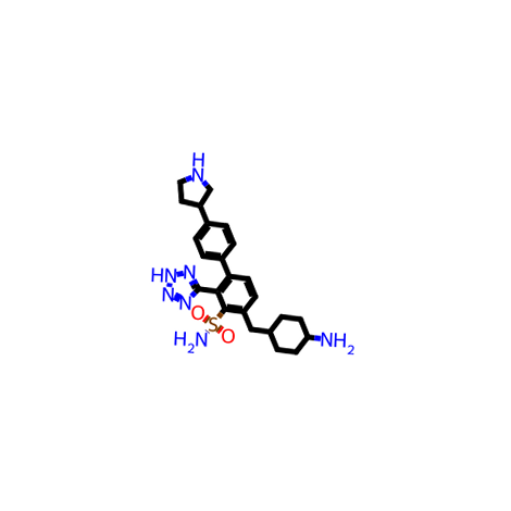 NC1CCC(Cc2ccc(-c3ccc(C4CCNC4)cc3)c(-c3nn[nH]n3)c2S(N)(=O)=O)CC1